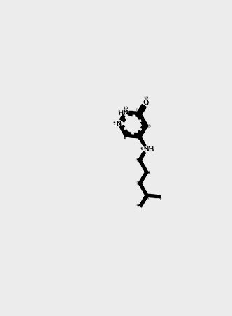 CC(C)CCCNc1cn[nH]c(=O)c1